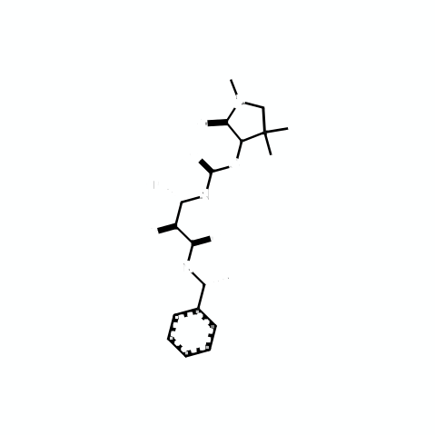 CCCC[C@H](NC(=O)OC1C(=O)N(C)CC1(C)C)C(=O)C(=O)N[C@H](C)c1ccccc1